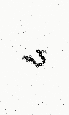 Cn1c2ccncc2c2ccc(-c3ccc(OC4CC(OC5CCN(C(=O)COC6CN(c7ccc8c(c7)C(=O)N(C7CCC(=O)NC7=O)C8=O)C6)CC5)C4)nc3)cc21